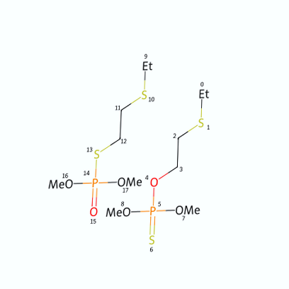 CCSCCOP(=S)(OC)OC.CCSCCSP(=O)(OC)OC